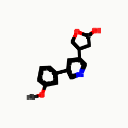 CCCOc1cccc(-c2cncc(C3COB(O)C3)c2)c1